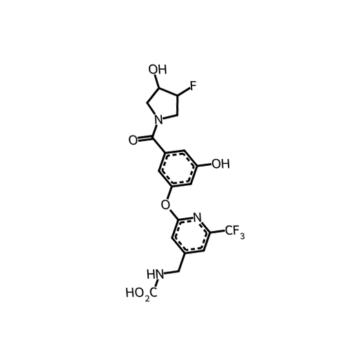 O=C(O)NCc1cc(Oc2cc(O)cc(C(=O)N3CC(O)C(F)C3)c2)nc(C(F)(F)F)c1